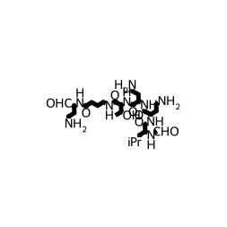 CC(C)CC(NC=O)C(=O)NC(CCN)C(=O)NC(CCN)C(=O)NC(C(=O)NCCCC(=O)NC(C=O)CCN)C(C)O